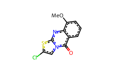 COc1cccc2c(=O)n3cc(Cl)sc3nc12